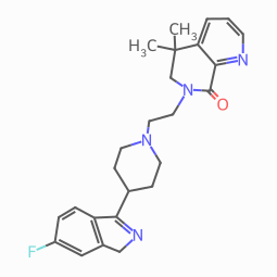 CC1(C)CN(CCN2CCC(C3=NCc4cc(F)ccc43)CC2)C(=O)c2ncccc21